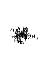 COC(=O)CC[C@H](NC(=O)[C@H](Cc1c[nH]c2ccccc12)NC(=O)OCc1ccccc1)C(=O)N[C@@H](Cc1cnc[nH]1)C(=O)N[C@@H](CC(=O)OC)C(=O)CF